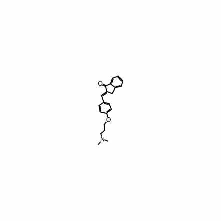 CN(C)CCCOc1ccc(/C=C2\Cc3ccccc3C2=O)cc1